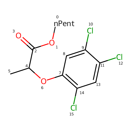 CCCCCOC(=O)C(C)Oc1cc(Cl)c(Cl)cc1Cl